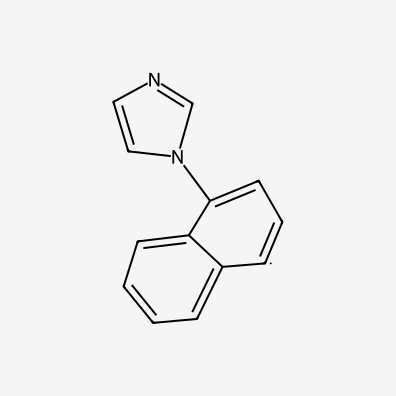 [c]1ccc(-n2ccnc2)c2ccccc12